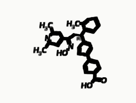 Cc1cc(C(C[C@H](c2ccc(-c3ccc(C(=O)O)cc3)cc2)c2ccccc2C)=NO)cc(C)n1